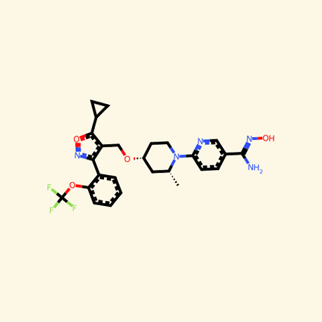 C[C@@H]1C[C@H](OCc2c(-c3ccccc3OC(F)(F)F)noc2C2CC2)CCN1c1ccc(/C(N)=N/O)cn1